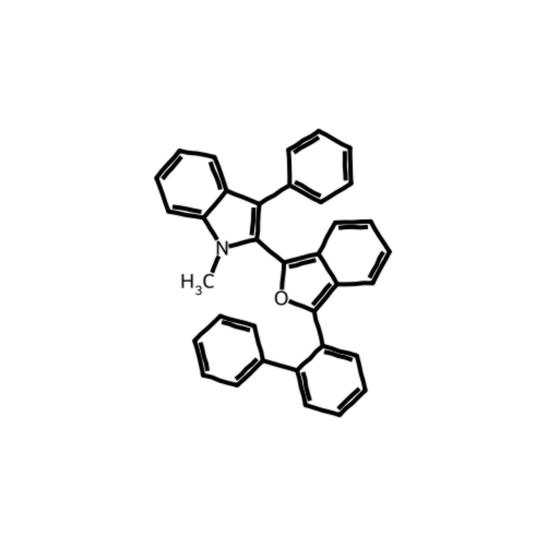 Cn1c(-c2oc(-c3ccccc3-c3ccccc3)c3ccccc23)c(-c2ccccc2)c2ccccc21